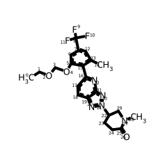 CCOCOc1cc(C(F)(F)F)cc(C)c1-c1ccc2nn(C3CCC(=O)N(C)C3)nc2n1